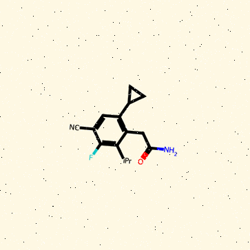 CC(C)c1c(F)c(C#N)cc(C2CC2)c1CC(N)=O